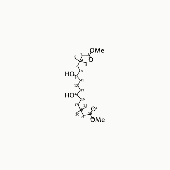 COC(=O)CC(C)(C)CCC(O)CCCC(O)CCC(C)(C)CC(=O)OC